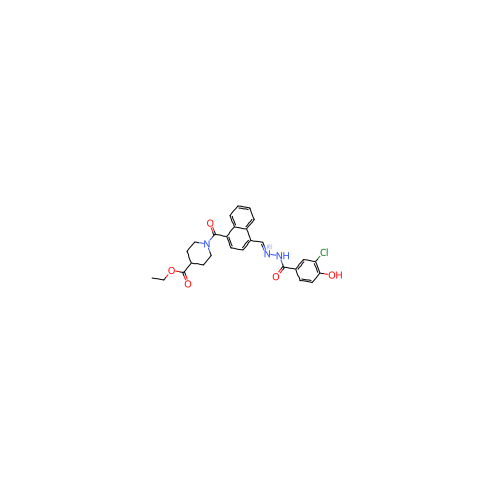 CCOC(=O)C1CCN(C(=O)c2ccc(/C=N/NC(=O)c3ccc(O)c(Cl)c3)c3ccccc23)CC1